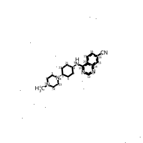 CN1CCN([C@H]2CC[C@H](Nc3ncnc4cc(C#N)ccc34)CC2)CC1